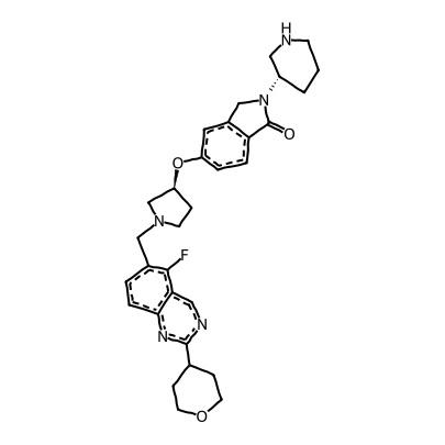 O=C1c2ccc(O[C@H]3CCN(Cc4ccc5nc(C6CCOCC6)ncc5c4F)C3)cc2CN1[C@H]1CCCNC1